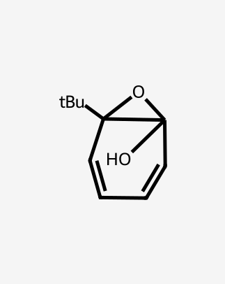 CC(C)(C)C12C=CC=CC1(O)O2